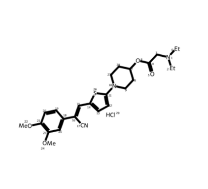 CCN(CC)CC(=O)OC1CCN(c2ccc(/C=C(\C#N)c3ccc(OC)c(OC)c3)s2)CC1.Cl